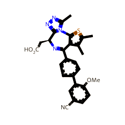 COc1ccc(C#N)cc1-c1ccc(C2=N[C@@H](CC(=O)O)c3nnc(C)n3-c3sc(C)c(C)c32)cc1